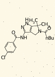 CCCCC(=O)N1Cc2c(NC(=O)c3ccc(Cl)cc3)n[nH]c2C1(C)C